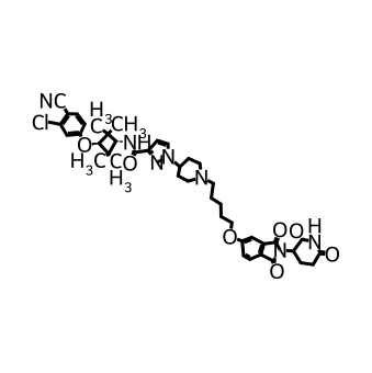 CC1(C)[C@H](NC(=O)c2ccn(C3CCN(CCCCCOc4ccc5c(c4)C(=O)N(C4CCC(=O)NC4=O)C5=O)CC3)n2)C(C)(C)[C@H]1Oc1ccc(C#N)c(Cl)c1